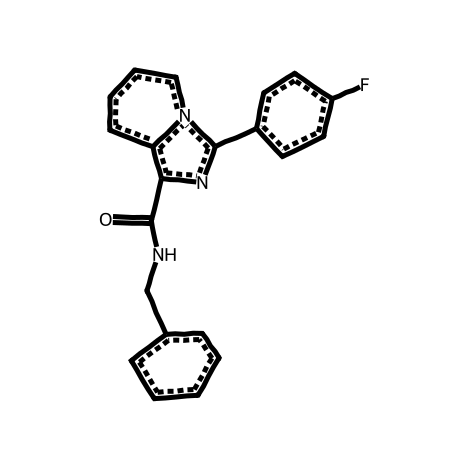 O=C(NCc1ccccc1)c1nc(-c2ccc(F)cc2)n2ccccc12